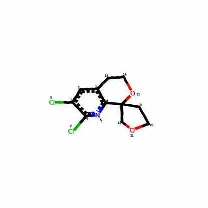 Clc1cc2c(nc1Cl)C1(CCOC1)OCC2